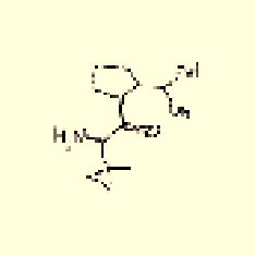 CC1(C(N)C(=O)N2CCCC2C(O)O)CC1